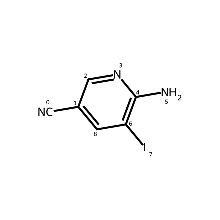 N#Cc1cnc(N)c(I)c1